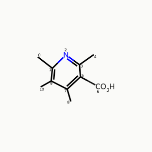 Cc1nc(C)c(C(=O)O)c(C)c1C